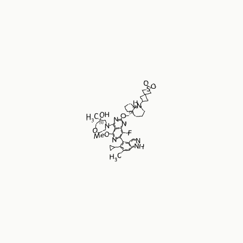 COc1nc(-c2c(C3CC3)c(C)cc3[nH]ncc23)c(F)c2nc(OC[C@]34CCC[C@H]3N(C3CC5(C3)CS(=O)(=O)C5)CCC4)nc(N3CCOC[C@@](C)(O)C3)c12